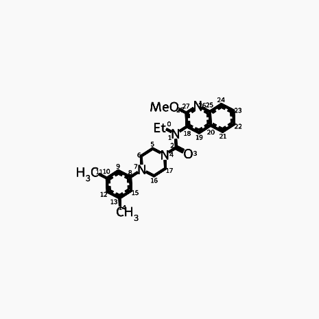 CCN(C(=O)N1CCN(c2cc(C)cc(C)c2)CC1)c1cc2ccccc2nc1OC